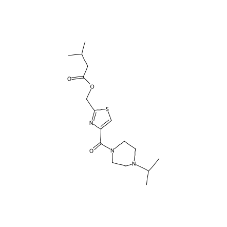 CC(C)CC(=O)OCc1nc(C(=O)N2CCN(C(C)C)CC2)cs1